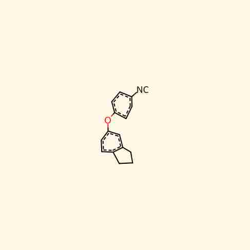 [C-]#[N+]c1ccc(Oc2ccc3c(c2)CCC3)cc1